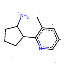 Cc1cccnc1C1CCCC1N